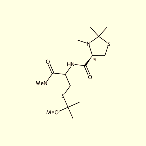 CNC(=O)C(CSC(C)(C)OC)NC(=O)[C@@H]1CSC(C)(C)N1C